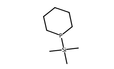 C[Si](C)(C)P1CCCCC1